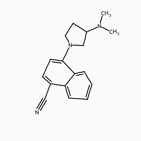 CN(C)C1CCN(c2ccc(C#N)c3ccccc23)C1